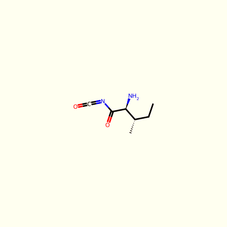 CC[C@H](C)[C@H](N)C(=O)N=C=O